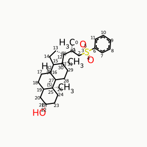 C[C@H](CS(=O)(=O)c1ccccc1)[C@H]1CCC2[C@@H]3CCC4C[C@@H](O)CC[C@]4(C)C3CC[C@@]21C